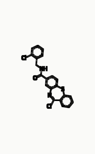 O=C(NCc1ccccc1Cl)c1ccc2c(c1)N=C(Cl)c1ccccc1S2